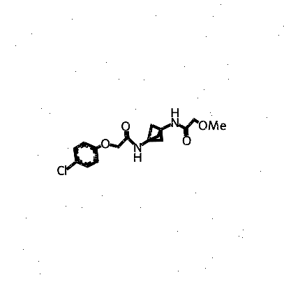 COCC(=O)NC12CC(NC(=O)COc3ccc(Cl)cc3)(C1)C2